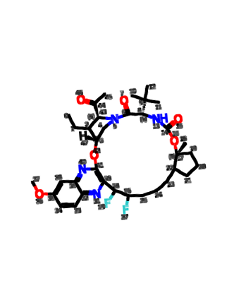 CCC1[C@@H]2CN(C(=O)[C@H](C(C)(C)C)NC(=O)O[C@]3(C)CCCC3CCCC(F)C(F)c3nc4ccc(OC)cc4nc3O2)[C@@H]1C(C)=O